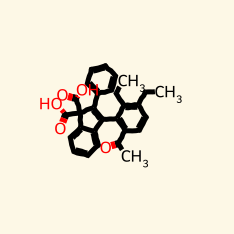 CCc1ccc(C(C)=O)c(C2=C(c3ccccc3)C(C(=O)O)(C(=O)O)c3ccccc32)c1CC